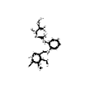 Cc1ncc(COc2ccccc2O[P+]([O-])=N[C@@H](C)C(=O)OC(C)C)c(CO)c1O